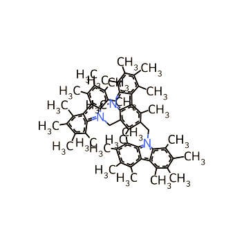 Cc1c(C)c(C)c2c(c1C)c1c(C)c(Cn3c4c(C)c(C)c(C)c(C)c4c4c(C)c(C)c(C)c(C)c43)c(C)c(Cn3c4c(C)c(C)c(C)c(C)c4c4c(C)c(C)c(C)c(C)c43)c1n2C